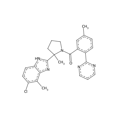 Cc1ccc(-c2ncccn2)c(C(=O)N2CCCC2(C)c2nc3c(C)c(Cl)ccc3[nH]2)c1